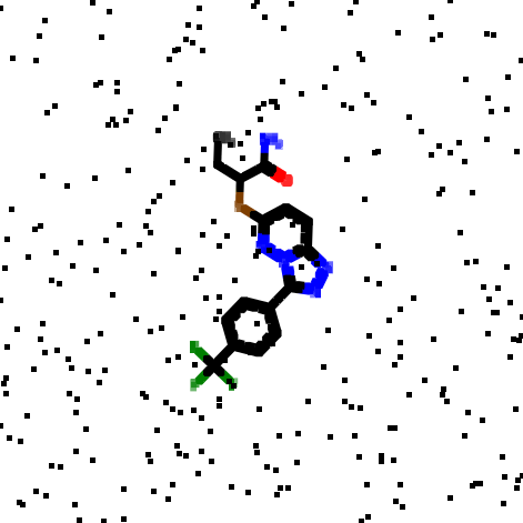 CCC(Sc1ccc2nnc(-c3ccc(C(F)(F)F)cc3)n2n1)C(N)=O